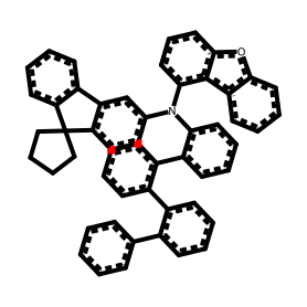 c1ccc(-c2ccccc2-c2ccccc2-c2ccccc2N(c2ccc3c(c2)-c2ccccc2C32CCCC2)c2cccc3oc4ccccc4c23)cc1